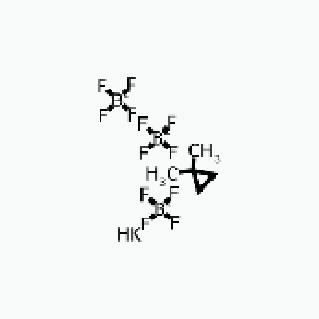 CC1(C)CC1.F[B-](F)(F)F.F[B-](F)(F)F.F[B-](F)(F)F.[KH]